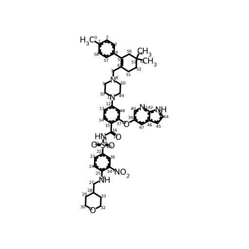 Cc1ccc(C2=C(CN3CCN(c4ccc(C(=O)NS(=O)(=O)c5ccc(NCC6CCOCC6)c([N+](=O)[O-])c5)c(Oc5cnc6[nH]ccc6c5)c4)CC3)CCC(C)(C)C2)cc1